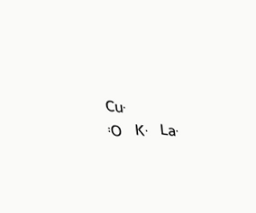 [Cu].[K].[La].[O]